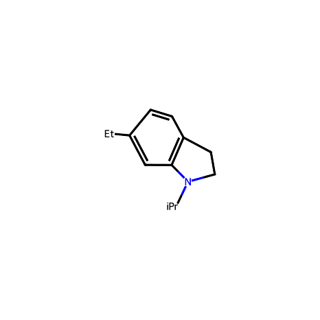 CCc1ccc2c(c1)N(C(C)C)CC2